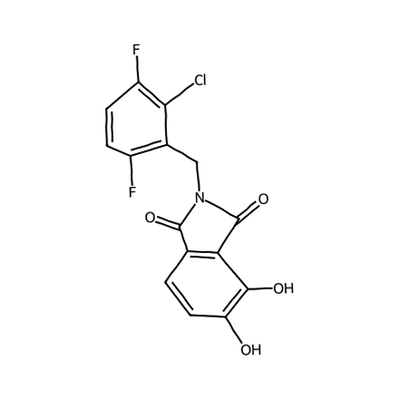 O=C1c2ccc(O)c(O)c2C(=O)N1Cc1c(F)ccc(F)c1Cl